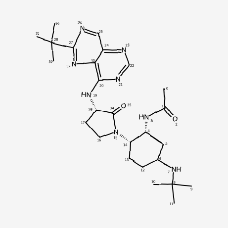 CC(=O)N[C@@H]1CC(NC(C)(C)C)CC[C@@H]1N1CC[C@H](Nc2ncnc3cnc(C(C)(C)C)nc23)C1=O